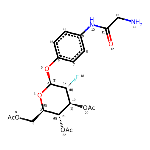 CC(=O)OC[C@H]1O[C@@H](Oc2ccc(NC(=O)CN)cc2)[C@H](F)[C@@H](OC(C)=O)[C@@H]1OC(C)=O